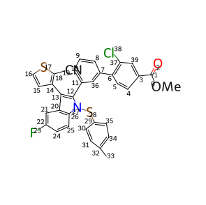 COC(=O)c1ccc(-c2cccc(-c3c(-c4ccsc4C#N)c4cc(F)ccc4n3Sc3ccc(C)cc3)c2)c(Cl)c1